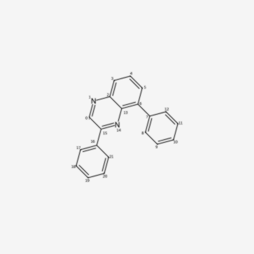 [c]1nc2cccc(-c3ccccc3)c2nc1-c1ccccc1